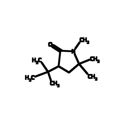 CN1C(=O)C(C(C)(C)C)CC1(C)C